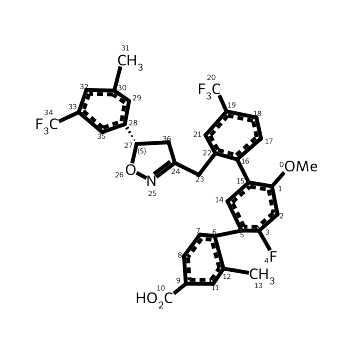 COc1cc(F)c(-c2ccc(C(=O)O)cc2C)cc1-c1ccc(C(F)(F)F)cc1CC1=NO[C@H](c2cc(C)cc(C(F)(F)F)c2)C1